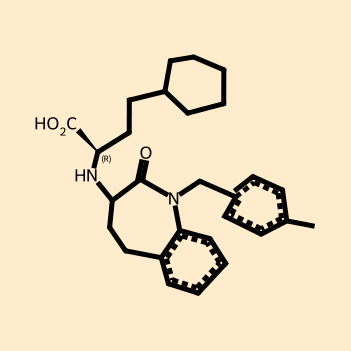 Cc1ccc(CN2C(=O)C(N[C@H](CCC3CCCCC3)C(=O)O)CCc3ccccc32)cc1